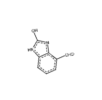 O=[C]c1cccc2[nH]c(O)nc12